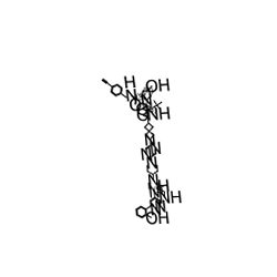 C#Cc1ccc(CNC(=O)[C@@H]2C[C@@H](O)CN2C(=O)[C@@H](NC(=O)C2CC3(C2)CN(c2cnc(N4CCC(N5CCN6c7cc(-c8ccccc8O)nnc7NC[C@H]6C5)CC4)cn2)C3)C(C)(C)C)cc1